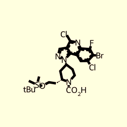 CC(C)(C)[Si](C)(C)OCC[C@@H]1C[C@@H](n2ncc3c(Cl)nc4c(F)c(Br)c(Cl)cc4c32)CCN1C(=O)O